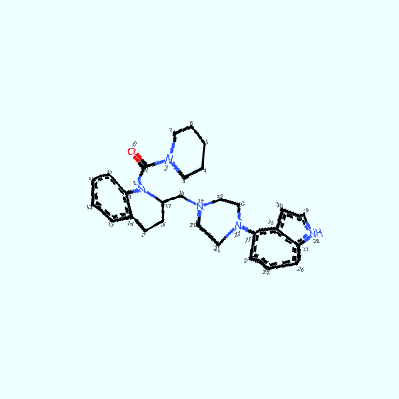 O=C(N1CCCCC1)N1c2ccccc2CCC1CN1CCN(c2cccc3[nH]ccc23)CC1